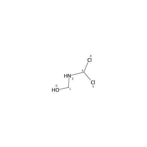 OCNC(Cl)Cl